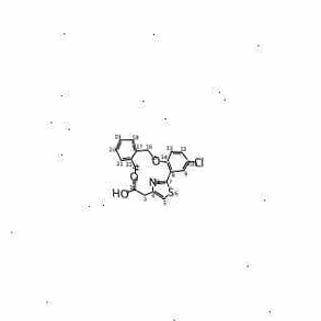 O=C(O)Cc1csc(-c2cc(Cl)ccc2OCc2ccccc2F)n1